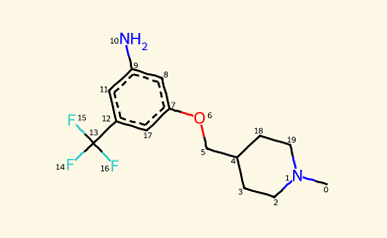 CN1CCC(COc2cc(N)cc(C(F)(F)F)c2)CC1